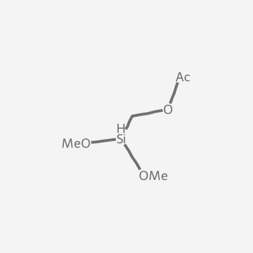 CO[SiH](COC(C)=O)OC